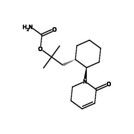 CC(C)(C[C@@H]1CCCC[C@H]1N1CCC=CC1=O)OC(N)=O